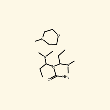 CCC(N(C)C)N(C(N)=O)C(CC)N(C)C.CN1CCOCC1